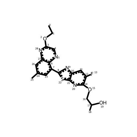 CCOc1cnc2c(-c3nc4cc(F)c(OCC(C)O)nc4s3)cc(C)cc2n1